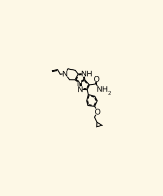 C=CCN1CCc2[nH]c3c(C(N)=O)c(-c4ccc(OCC5CC5)cc4)nn3c2C1